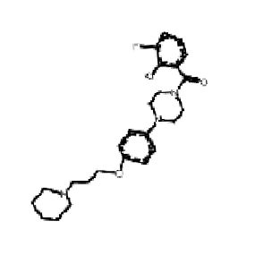 O=C(c1cccc(F)c1Cl)N1CCN(c2ccc(OCCCN3CCCCC3)cc2)CC1